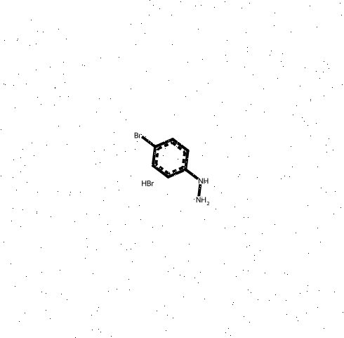 Br.NNc1ccc(Br)cc1